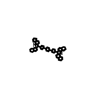 C1=Cc2c(ccc3c(-c4ccc(-c5ccc(-c6ccc(-c7c8ccc9c(c8nc8c7ccc7ccccc78)C=CCC9)cc6)cc5)cc4)c4ccc5ccccc5c4nc23)CC1